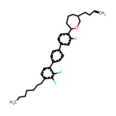 C=CCCC1CCCC(c2ccc(-c3ccc(-c4ccc(CCCCCCC)c(F)c4F)cc3)cc2F)OC1